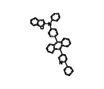 c1ccc(-c2ccc(-c3c4ccccc4c(-c4ccc(N(c5ccccc5)c5cc6ccccc6o5)cc4)c4ccccc34)cn2)cc1